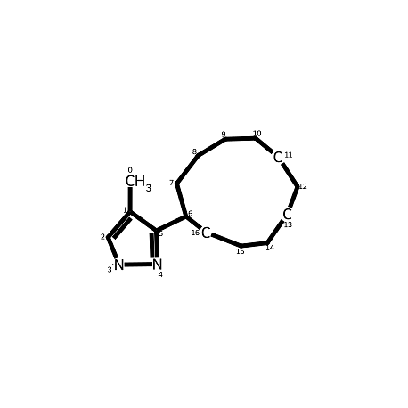 CC1=C[N]N=C1C1CCCCCCCCCC1